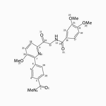 CNC(=O)c1ccc(-c2nc(C(=O)CNC(=O)c3ccc(OC)c(OC)c3)ccc2OC)cc1